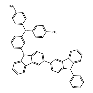 Cc1ccc(N(c2ccc(C)cc2)c2cccc(-n3c4ccccc4c4cc(-c5ccc6c(c5)c5ccccc5n6-c5ccccc5)ccc43)c2)cc1